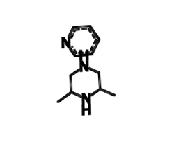 CC1CNCC(C)N1.c1ccncc1